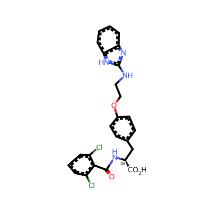 O=C(N[C@@H](Cc1ccc(OCCNc2nc3ccccc3[nH]2)cc1)C(=O)O)c1c(Cl)cccc1Cl